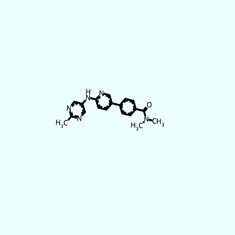 Cc1ncc(Nc2ccc(-c3ccc(C(=O)N(C)C)cc3)cn2)cn1